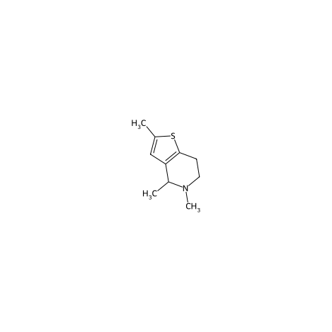 Cc1cc2c(s1)CCN(C)C2C